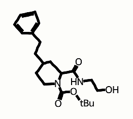 CC(C)(C)OC(=O)N1CCC(CCc2ccccc2)CC1C(=O)NCCO